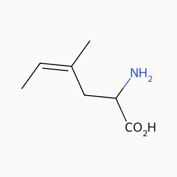 C/C=C(/C)CC(N)C(=O)O